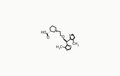 Cc1ccsc1C(=COCCN1CCC[C@@H](C(=O)O)C1)c1sccc1C